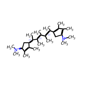 CC1=C(C)\C(=C(C)/C(C)=C(C)/C(C)=C(\C)C2=C(C)C(C)=C(N(C)C)C2)CC1=[N+](C)C